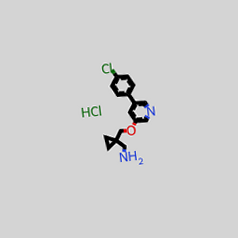 Cl.NCC1(COc2cncc(-c3ccc(Cl)cc3)c2)CC1